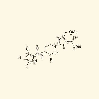 COCc1nc(N2CC[C@@H](NC(=O)c3[nH]c(C)c(I)c3Cl)[C@@H](F)C2)sc1C(=O)OC